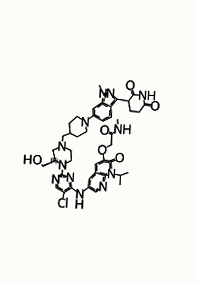 CNC(=O)COc1cc2cc(Nc3nc(N4CCN(CC5CCN(c6ccc7c(C8CCC(=O)NC8=O)nn(C)c7c6)CC5)C[C@@H]4CO)ncc3Cl)cnc2n(C(C)C)c1=O